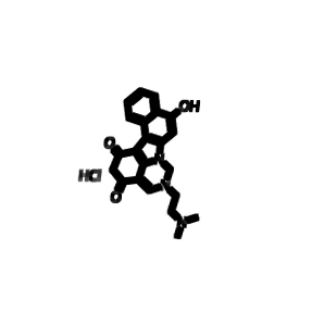 CN(C)CCN1C=C2C(=O)CC(=O)c3c2n(c2cc(O)c4ccccc4c32)C1.Cl